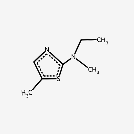 CCN(C)c1ncc(C)s1